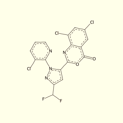 O=c1oc(-c2cc(C(F)F)nn2-c2ncccc2Cl)nc2c(Cl)cc(Cl)cc12